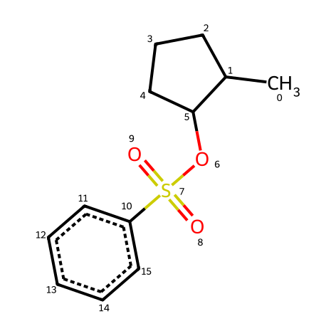 CC1CCCC1OS(=O)(=O)c1ccccc1